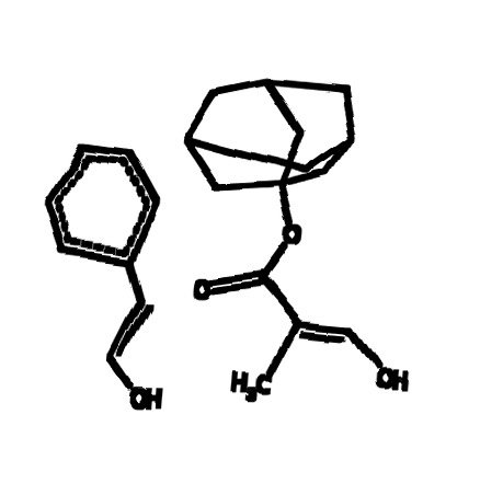 CC(=CO)C(=O)OC12CC3CC(CC(C3)C1)C2.OC=Cc1ccccc1